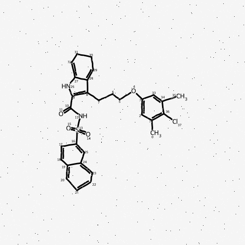 Cc1cc(OCCCc2c(C(=O)NS(=O)(=O)c3ccc4ccccc4c3)[nH]c3c2=CCCC=3)cc(C)c1Cl